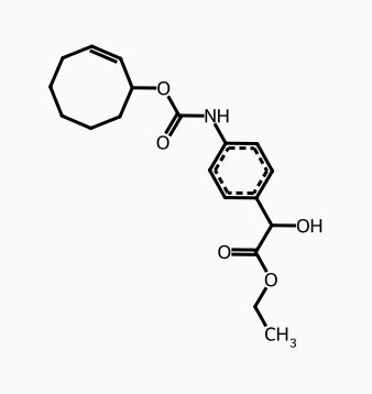 CCOC(=O)C(O)c1ccc(NC(=O)OC2C=CCCCCC2)cc1